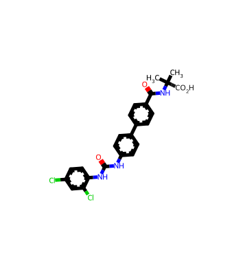 CC(C)(NC(=O)c1ccc(-c2ccc(NC(=O)Nc3ccc(Cl)cc3Cl)cc2)cc1)C(=O)O